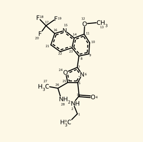 CCNC(=O)c1nc(-c2ccc(OC)c3nc(C(F)(F)F)ccc23)oc1C(C)N